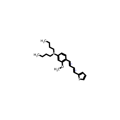 CCCCN(CCCC)c1ccc(/C=C/C=C/c2cccs2)c(OC)c1